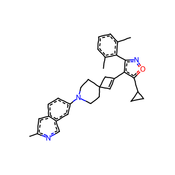 Cc1cc2ccc(N3CCC4(C=C(c5c(-c6c(C)cccc6C)noc5C5CC5)C4)CC3)cc2cn1